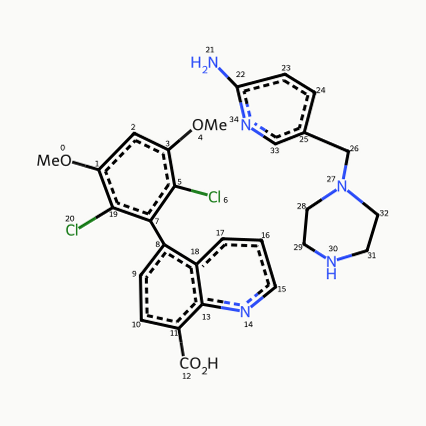 COc1cc(OC)c(Cl)c(-c2ccc(C(=O)O)c3ncccc23)c1Cl.Nc1ccc(CN2CCNCC2)cn1